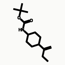 C=C(CC)C1CCC(NC(=O)OC(C)(C)C)CC1